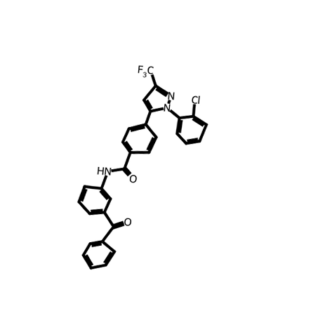 O=C(Nc1cccc(C(=O)c2ccccc2)c1)c1ccc(-c2cc(C(F)(F)F)nn2-c2ccccc2Cl)cc1